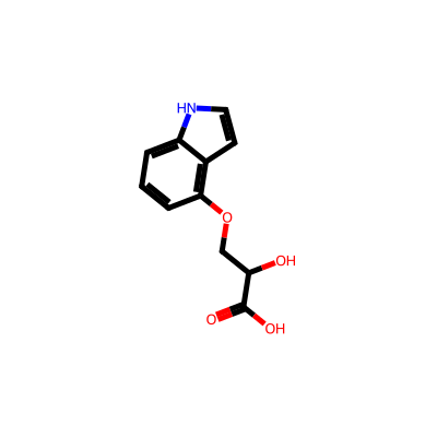 O=C(O)C(O)COc1cccc2[nH]ccc12